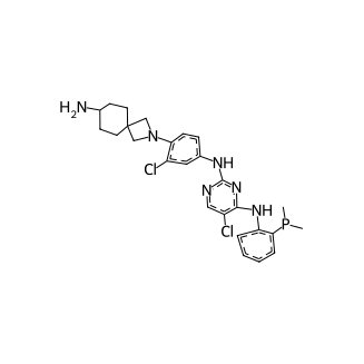 CP(C)c1ccccc1Nc1nc(Nc2ccc(N3CC4(CCC(N)CC4)C3)c(Cl)c2)ncc1Cl